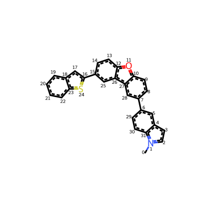 Cn1ccc2cc(-c3ccc4oc5ccc(-c6cc7ccccc7s6)cc5c4c3)ccc21